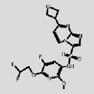 COc1nc(OCC(F)F)c(F)cc1NS(=O)(=O)c1cnc2nc(C3COC3)ccn12